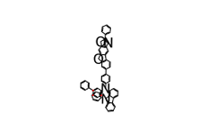 c1ccc(-c2cccc(N(c3ccc(-c4ccc5c(c4)oc4cc6oc(-c7ccccc7)nc6cc45)cc3)c3cccc4c5ccccc5n(-c5ccccc5)c34)c2)cc1